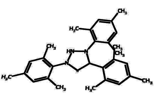 Cc1cc(C)c(C2[C]N(c3c(C)cc(C)cc3C)NN2c2c(C)cc(C)cc2C)c(C)c1